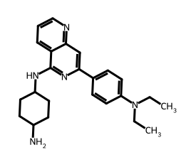 CCN(CC)c1ccc(-c2cc3ncccc3c(NC3CCC(N)CC3)n2)cc1